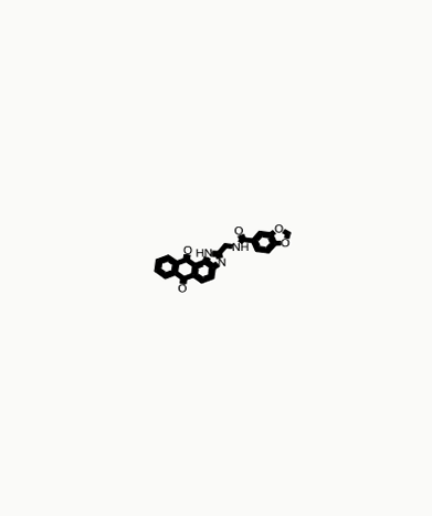 O=C(NCc1nc2ccc3c(c2[nH]1)C(=O)c1ccccc1C3=O)c1ccc2c(c1)OCO2